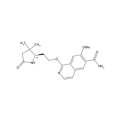 COc1cc2c(OCC[C@H]3NC(=O)CC3(C)C)nccc2cc1C(N)=O